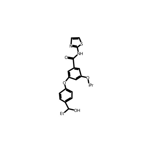 CCC(O)c1ccc(Oc2cc(OC(C)C)cc(C(=O)Nc3nccs3)c2)cc1